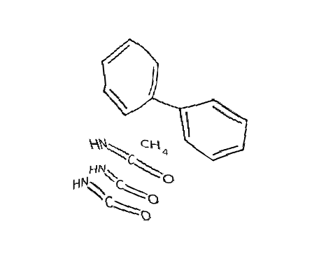 C.N=C=O.N=C=O.N=C=O.c1ccc(-c2ccccc2)cc1